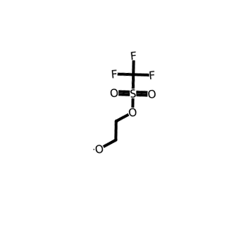 [O]CCOS(=O)(=O)C(F)(F)F